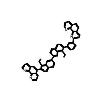 CCc1c(-c2cccc(-c3ccc4ccc5cccnc5c4n3)c2)ccc2ccc(-c3ccc4ccc(-c5cc6cccnc6c6ncccc56)c(CC)c4c3)cc12